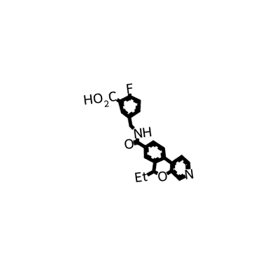 CCC1Oc2cnccc2-c2ccc(C(=O)NCc3ccc(F)c(C(=O)O)c3)cc21